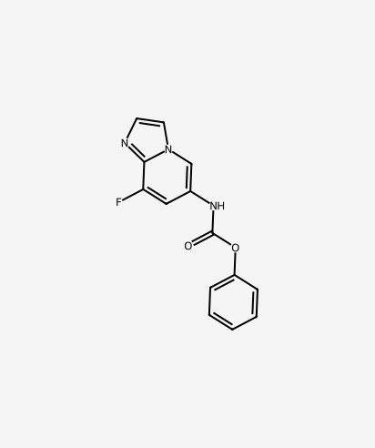 O=C(Nc1cc(F)c2nccn2c1)Oc1ccccc1